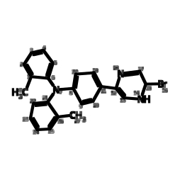 Cc1ccccc1N(c1ccc(C2=CNC(Br)C=N2)cc1)c1ccccc1C